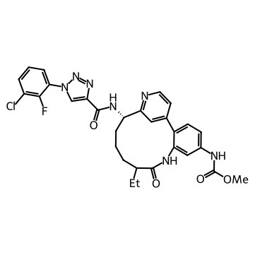 CCC1CCC[C@H](NC(=O)c2cn(-c3cccc(Cl)c3F)nn2)c2cc(ccn2)-c2ccc(NC(=O)OC)cc2NC1=O